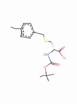 Cc1ccc(CSC[C@@H](NC(=O)OC(C)(C)C)C(=O)O)cc1